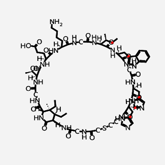 CC[C@H](C)[C@@H]1NC(=O)CNC(=O)[C@H](CCCCN)NC(=O)[C@H](CCC(=O)O)NC(=O)[C@H]([C@@H](C)O)NC(=O)CNC(=O)[C@H]2NC(=O)[C@@H](NC(=O)CNC(=O)CSCCNC(=O)[C@H](Cc3cnc[nH]3)NC(=O)[C@H](Cc3cnc[nH]3)NC(=O)CNC(=O)[C@H](Cc3c[nH]c4ccccc34)NC1=O)[C@H](CC)[C@]2(C)CC